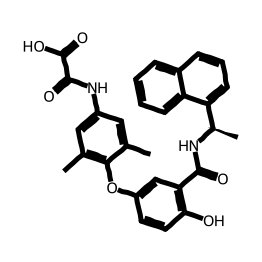 Cc1cc(NC(=O)C(=O)O)cc(C)c1Oc1ccc(O)c(C(=O)N[C@H](C)c2cccc3ccccc23)c1